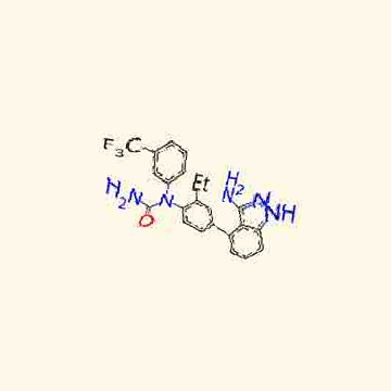 CCc1cc(-c2cccc3[nH]nc(N)c23)ccc1N(C(N)=O)c1cccc(C(F)(F)F)c1